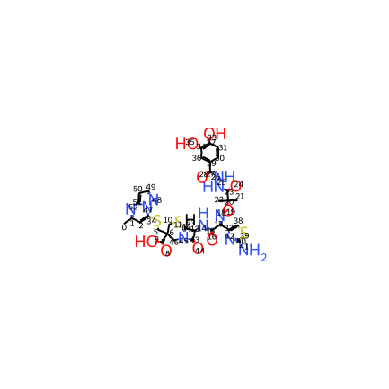 Cc1cc(SCC2(C(=O)O)CS[C@@H]3C(NC(=O)C(=NOC(C)(C)C(=O)NNC(=O)c4ccc(O)c(O)c4)c4csc(N)n4)C(=O)N3C2)n2nccc2n1